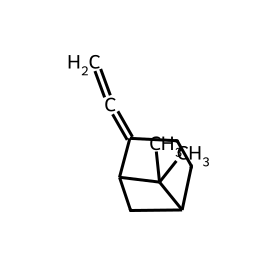 C=C=C1CCC2CC1C2(C)C